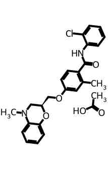 CC(=O)O.Cc1cc(OC[C@@H]2CN(C)c3ccccc3O2)ccc1C(=O)Nc1ccccc1Cl